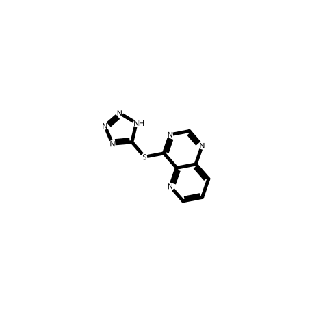 c1cnc2c(Sc3nnn[nH]3)ncnc2c1